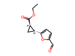 CCOC(=O)[C@@H]1C[C@H]1c1ccc(C=O)o1